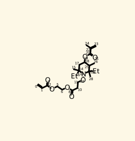 C=CC(=O)OCCOC(=O)CCON1C(C)(CC)CC(OC(=O)C(=C)C)C(C)C1(C)CC